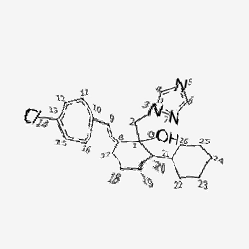 OC1(Cn2cncn2)C(=Cc2ccc(Cl)cc2)CCCC1C1CCCCC1